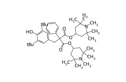 CN1C(C)(C)CC(OC(=O)C(Cc2cc(C(C)(C)C)c(O)c(C(C)(C)C)c2)(C(=O)OC2CC(C)(C)N(C)C(C)(C)C2)c2ccccc2)CC1(C)C